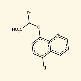 CCC(Oc1ccc(Cl)c2cccnc12)C(=O)O